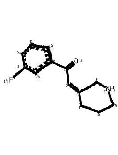 O=C(C=C1CCCNC1)c1cccc(F)c1